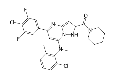 Cc1cccc(Cl)c1N(C)C1=CC(c2cc(F)c(Cl)c(F)c2)=NC2=CC(C(=O)N3CCCCC3)NN21